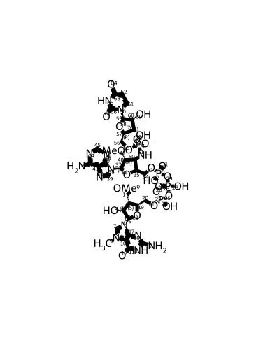 COC[C@H]1[C@@H](O)[C@H](n2c[n+](C)c3c(=O)[nH]c(N)nc32)O[C@@H]1COP(=O)(O)OP(=O)(O)OP(=O)(O)OCC1O[C@@H](n2cnc3c(N)ncnc32)[C@H](OC)C1NP(=O)([O-])OC[C@H]1O[C@@H](n2ccc(=O)[nH]c2=O)[C@H](O)[C@@H]1O